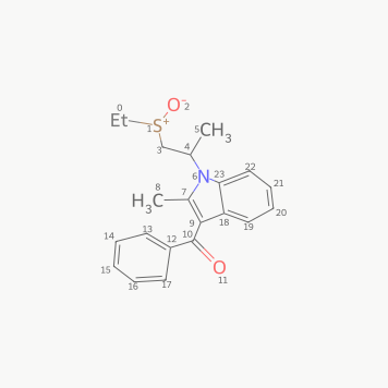 CC[S+]([O-])CC(C)n1c(C)c(C(=O)c2ccccc2)c2ccccc21